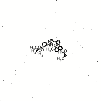 Cc1ccc2c(NC(=O)[C@H]3C[C@@H]3C)cccc2c1Oc1ncccc1-c1ccnc(NC2CCCN(C(=O)OC(C)(C)C)C2)n1